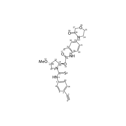 C#Cc1ccc(NC(=S)N2C[C@H](OC)C[C@H]2OC(=O)Nc2ccc(N3CCOCC3=O)cc2C)cc1